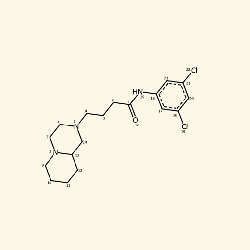 O=C(CCCN1CCN2CCCCC2C1)Nc1cc(Cl)cc(Cl)c1